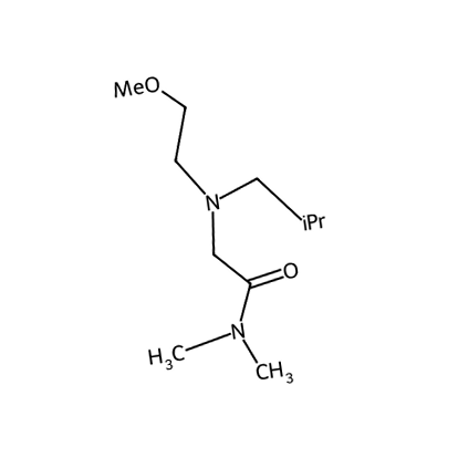 COCCN(CC(=O)N(C)C)CC(C)C